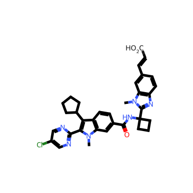 Cn1c(C2(NC(=O)c3ccc4c(C5CCCC5)c(-c5ncc(Cl)cn5)n(C)c4c3)CCC2)nc2ccc(/C=C/C(=O)O)cc21